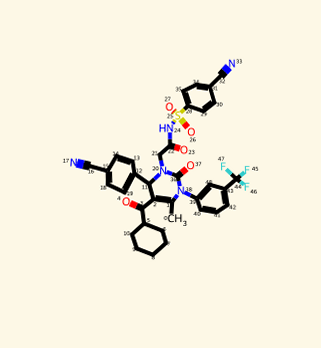 CC1=C(C(=O)C2CCCCC2)C(c2ccc(C#N)cc2)N(CC(=O)NS(=O)(=O)c2ccc(C#N)cc2)C(=O)N1c1cccc(C(F)(F)F)c1